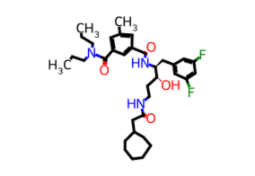 CCCN(CCC)C(=O)c1cc(C)cc(C(=O)N[C@@H](Cc2cc(F)cc(F)c2)[C@H](O)CCNC(=O)CC2CCCCCC2)c1